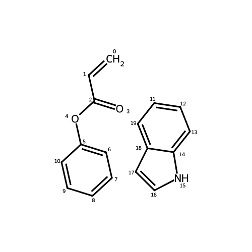 C=CC(=O)Oc1ccccc1.c1ccc2[nH]ccc2c1